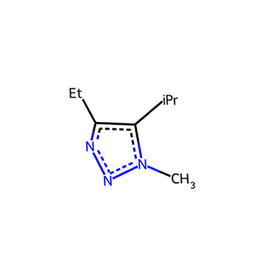 CCc1nnn(C)c1C(C)C